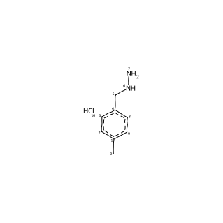 Cc1ccc(CNN)cc1.Cl